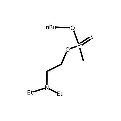 CCCCOP(C)(=S)OCCN(CC)CC